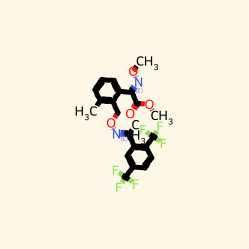 CO/N=C(/C(=O)OC)c1cccc(C)c1CO/N=C(\C)c1cc(C(F)(F)F)ccc1C(F)(F)F